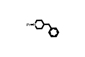 CC(C)N1CCC(Cc2ccccc2)CC1